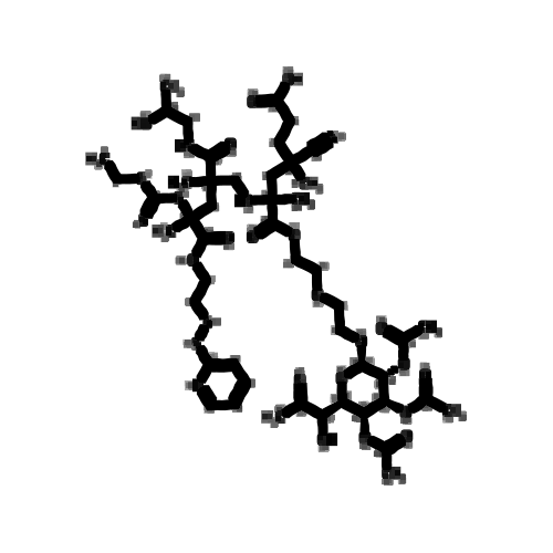 CCSC(=S)SC(C)(CC(C)(CBC(C)(CC(C)(C#N)CCC(=O)O)C(=O)OCCOCCO[C@@H]1O[C@H](C(O)C(C)=O)[C@H](OC(C)=O)[C@H](OC(C)=O)[C@H]1OC(C)=O)C(=O)NCC(C)O)C(=O)OCCSSc1ccccn1